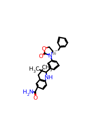 CC1(C)Cc2cc(C(N)=O)ccc2NC1c1cccc(N2C(=O)OC[C@@H]2Cc2ccccc2)c1